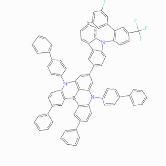 Fc1cc(F)cc(-c2cc(C(F)(F)F)ccc2-n2c3ccccc3c3cc(-c4cc5c6c(c4)N(c4ccc(-c7ccccc7)cc4)c4ccc(-c7ccccc7)cc4B6c4cc(-c6ccccc6)ccc4N5c4ccc(-c5ccccc5)cc4)ccc32)c1